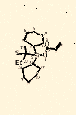 C=CC(=O)O[Si](C1CCCCC1)(C1CCCCC1)C(C)(C)CC